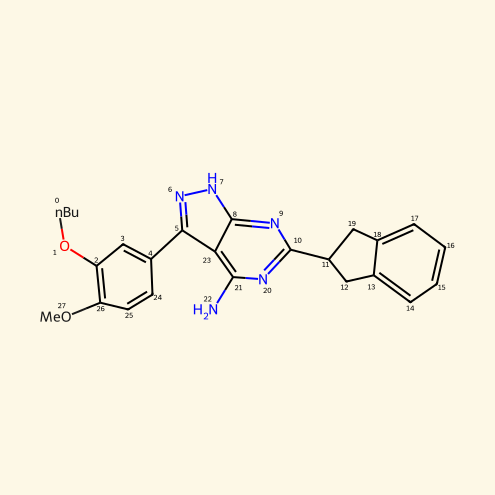 CCCCOc1cc(-c2n[nH]c3nc(C4Cc5ccccc5C4)nc(N)c23)ccc1OC